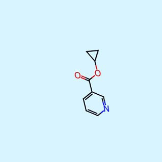 O=C(OC1CC1)c1cccnc1